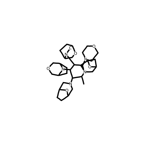 CC(C(C(C(C(C)N1CCOCC1)N1CC2CCC1CO2)N1C2CCC1COC2)N1CC2CCC(C1)O2)N1CC2CC(C1)O2